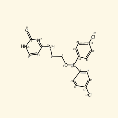 O=c1nc(NCCOB(c2ccc(Cl)cc2)c2ccc(Cl)cc2)cc[nH]1